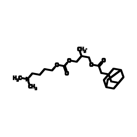 [CH2]C(COC(=O)CC12CC3CC(CC(C3)C1)C2)COC(=O)OCCCCN(C)C